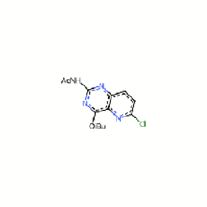 CC(=O)Nc1nc(OCC(C)C)c2nc(Cl)ccc2n1